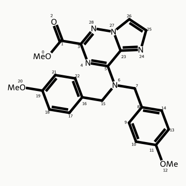 COC(=O)c1nc(N(Cc2ccc(OC)cc2)Cc2ccc(OC)cc2)c2nccn2n1